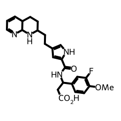 COc1ccc(C(CC(=O)O)NC(=O)c2cc(CCC3CCC4C=CC=NC4N3)c[nH]2)cc1F